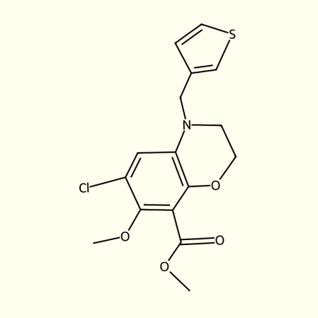 COC(=O)c1c(OC)c(Cl)cc2c1OCCN2Cc1ccsc1